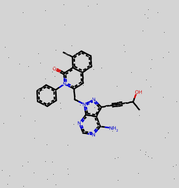 Cc1cccc2cc(Cn3nc(C#CC(C)O)c4c(N)ncnc43)n(-c3ccccc3)c(=O)c12